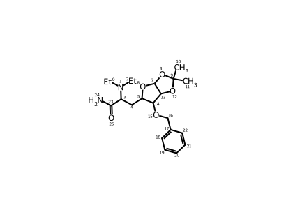 CCN(CC)C(CC1OC2OC(C)(C)OC2C1OCc1ccccc1)C(N)=O